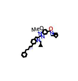 COc1cc(C(=O)N2CC34CC(CC23)C4)cc2nc(-c3cc4ccc(/C=C/CCc5ccccc5)cc4n3CC3CC3)n(C)c12